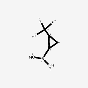 OB(O)C1CC1C(F)(F)F